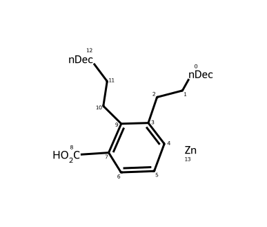 CCCCCCCCCCCCc1cccc(C(=O)O)c1CCCCCCCCCCCC.[Zn]